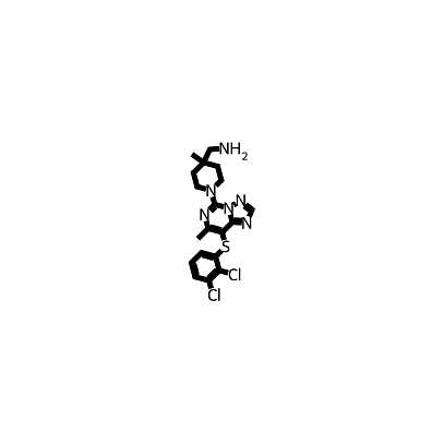 Cc1nc(N2CCC(C)(CN)CC2)n2ncnc2c1Sc1cccc(Cl)c1Cl